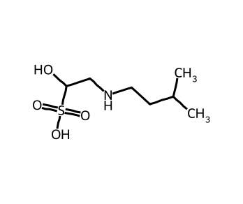 CC(C)CCNCC(O)S(=O)(=O)O